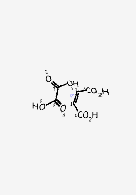 O=C(O)/C=C\C(=O)O.O=C(O)C(=O)O